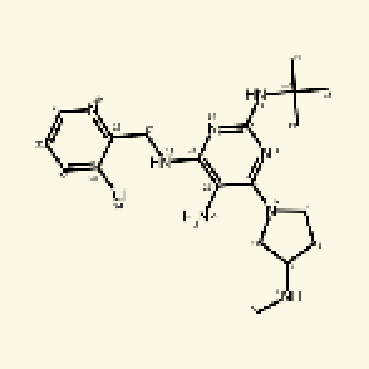 CNC1CCN(c2nc(NC(C)(C)C)nc(NCc3ncccc3Cl)c2N)C1